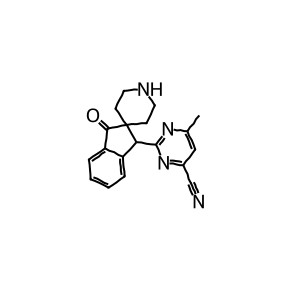 Cc1cc(C#N)nc(C2c3ccccc3C(=O)C23CCNCC3)n1